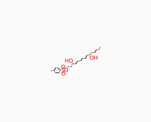 CCC=CCC(O)C=CC=CC=CC(O)CCOS(=O)(=O)c1ccc(C)cc1